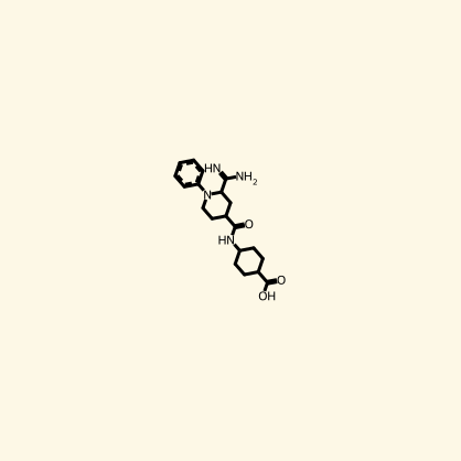 N=C(N)C1CC(C(=O)NC2CCC(C(=O)O)CC2)CCN1c1ccccc1